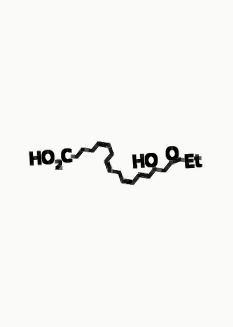 CCC1OC1CC(O)/C=C/C=C\C/C=C\C/C=C\CCCC(=O)O